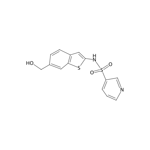 O=S(=O)(Nc1cc2ccc(CO)cc2s1)c1cccnc1